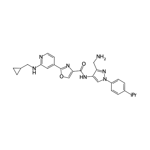 CC(C)c1ccc(-n2cc(NC(=O)c3coc(-c4ccnc(NCC5CC5)c4)n3)c(CN)n2)cc1